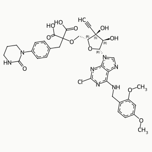 C#C[C@@]1(O)[C@@H](COC(Cc2ccc(N3CCCNC3=O)cc2)(C(=O)O)C(=O)O)O[C@@H](n2cnc3c(NCc4ccc(OC)cc4OC)nc(Cl)nc32)[C@@H]1O